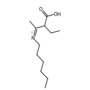 CCCCCC/N=C(/C)C(CC)C(=O)O